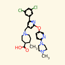 C[C@H]1CCN(Cc2cc(Oc3ccc(N4CCN(C)CC4)nc3)nc(-c3cc(Cl)cc(Cl)c3)c2)CCC1C(=O)O